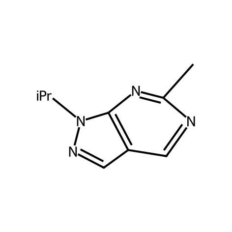 Cc1ncc2cnn(C(C)C)c2n1